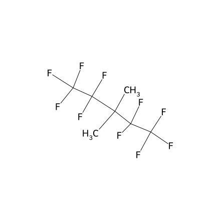 CC(C)(C(F)(F)C(F)(F)F)C(F)(F)C(F)(F)F